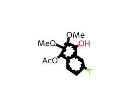 COc1c(OC)c(OC(C)=O)c2ccc(F)cc2c1O